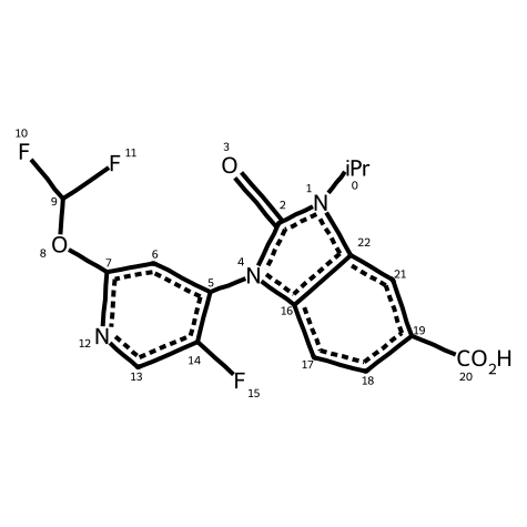 CC(C)n1c(=O)n(-c2cc(OC(F)F)ncc2F)c2ccc(C(=O)O)cc21